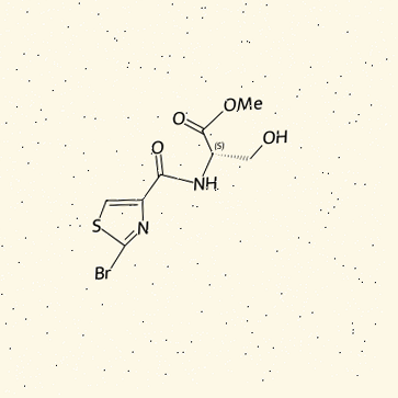 COC(=O)[C@H](CO)NC(=O)c1csc(Br)n1